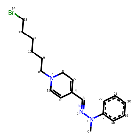 CN(/N=C/C1=CCN(CCCCCCBr)C=C1)c1ccccc1